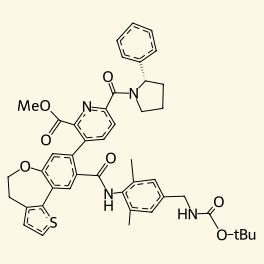 COC(=O)c1nc(C(=O)N2CCC[C@H]2c2ccccc2)ccc1-c1cc2c(cc1C(=O)Nc1c(C)cc(CNC(=O)OC(C)(C)C)cc1C)-c1sccc1CCO2